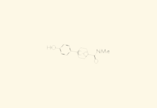 CNC(=O)C12CCC(c3ccc(O)cc3)(CC1)CC2